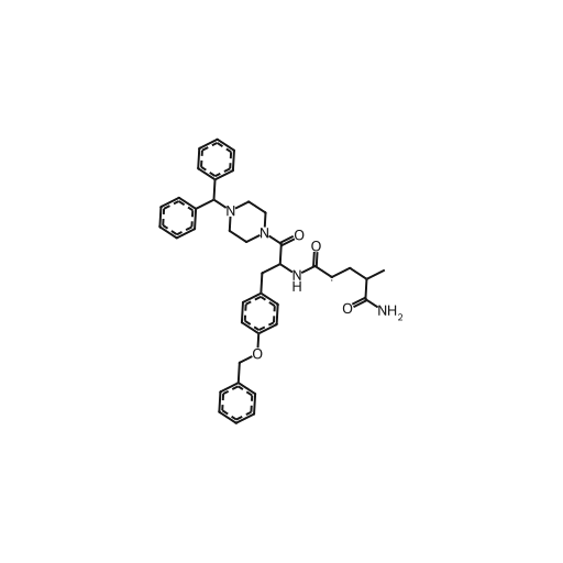 CC(C[CH]C(=O)NC(Cc1ccc(OCc2ccccc2)cc1)C(=O)N1CCN(C(c2ccccc2)c2ccccc2)CC1)C(N)=O